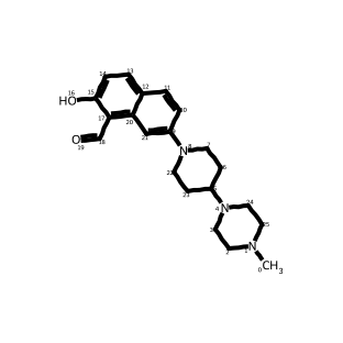 CN1CCN(C2CCN(c3ccc4ccc(O)c(C=O)c4c3)CC2)CC1